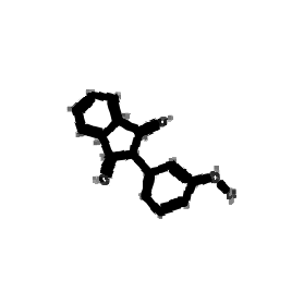 CCOc1cccc(C2C(=O)c3ccccc3C2=O)c1